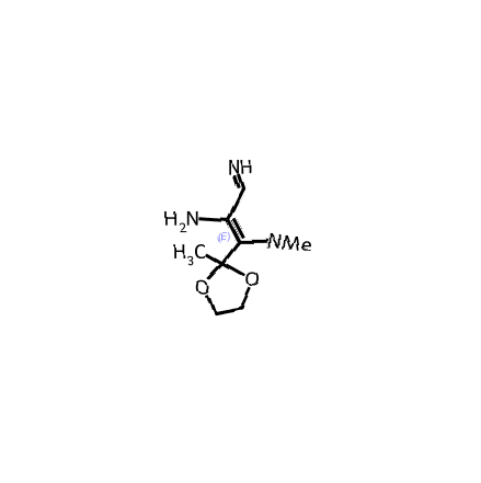 CN/C(=C(/N)C=N)C1(C)OCCO1